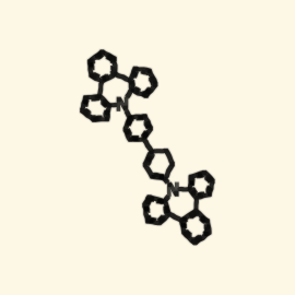 C1=C(c2ccc(N3c4ccccc4-c4ccccc4-c4ccccc43)cc2)CCC(N2c3ccccc3-c3ccccc3-c3ccccc32)=C1